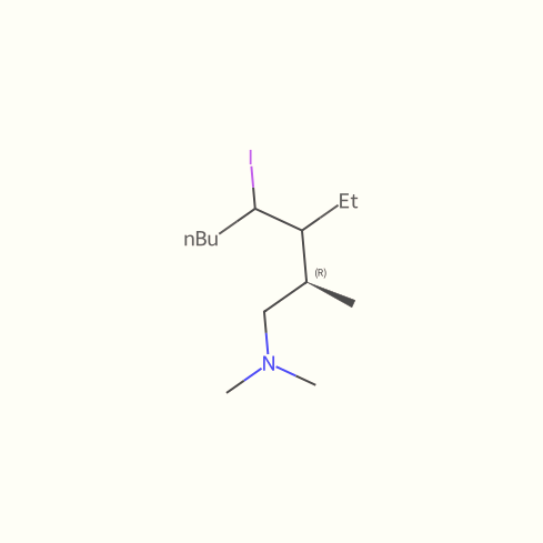 CCCCC(I)C(CC)[C@@H](C)CN(C)C